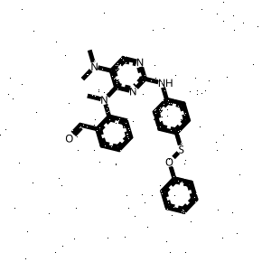 CN(C)c1cnc(Nc2ccc(SOc3ccccc3)cc2)nc1N(C)c1ccccc1C=O